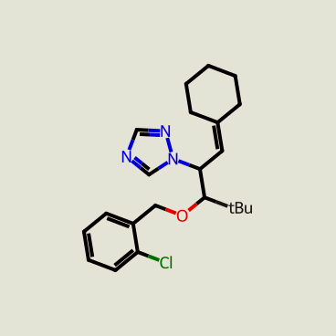 CC(C)(C)C(OCc1ccccc1Cl)C(C=C1CCCCC1)n1cncn1